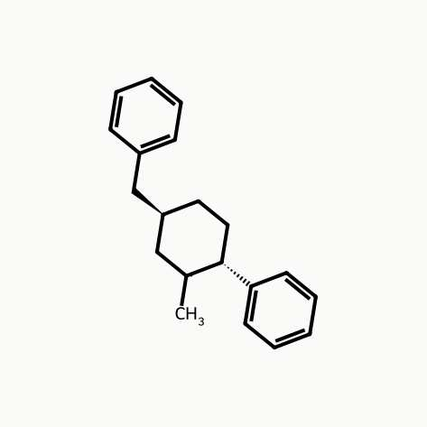 C[C]1C[C@@H](Cc2ccccc2)CC[C@@H]1c1ccccc1